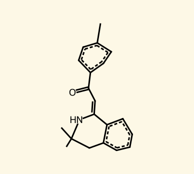 Cc1ccc(C(=O)/C=C2\NC(C)(C)Cc3ccccc32)cc1